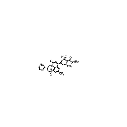 C[C@@H]1CN(c2nc(=O)n3c4c(cc(C(F)(F)F)cc24)[SH](Cl)C[C@H](c2cnccn2)C3)C[C@H](C)N1C(=O)OC(C)(C)C